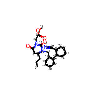 CCCc1cc(=O)n(CC(=O)OC)c(=O)n1Cc1ccccc1-c1ccccc1C#N